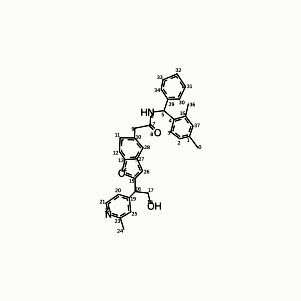 Cc1ccc(C(NC(=O)Cc2ccc3oc(C(CO)c4ccnc(C)c4)cc3c2)c2ccccc2)c(C)c1